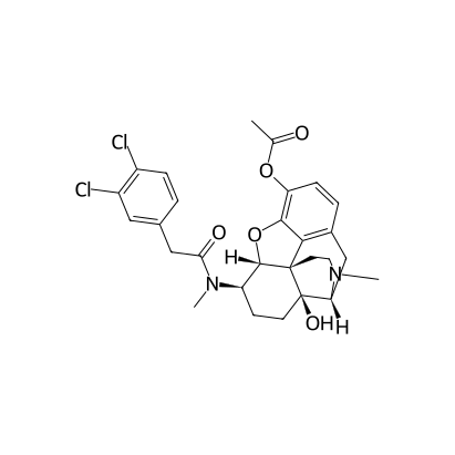 CC(=O)Oc1ccc2c3c1O[C@H]1[C@H](N(C)C(=O)Cc4ccc(Cl)c(Cl)c4)CC[C@@]4(O)[C@@H](C2)N(C)CC[C@]314